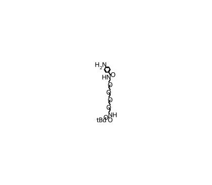 CC(C)(C)OC(=O)NCCOCCOCCOCCOCCNC(=O)c1ccc(N)cc1